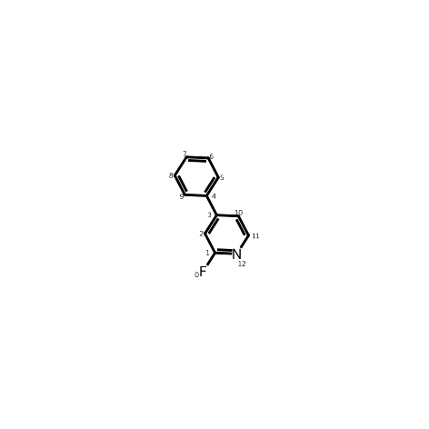 Fc1cc(-c2ccccc2)ccn1